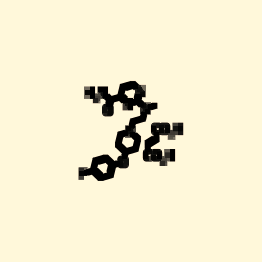 CN(CCN1CCC(Oc2ccc(F)cc2)CC1)c1nccc(C(N)=O)n1.O=C(O)/C=C/C(=O)O